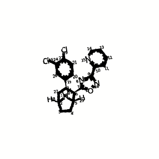 CN1[C@@H]2CC[C@H]1[C@H](c1nc(-c3ccccn3)no1)[C@H](c1ccc(Cl)c(Cl)c1)C2